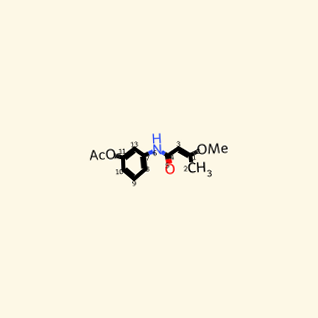 COC(C)=CC(=O)Nc1cccc(OC(C)=O)c1